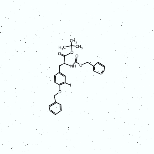 CC(C)(C)OC(=O)[C@H](Cc1ccc(OCc2ccccc2)c(I)c1)NC(=O)OCc1ccccc1